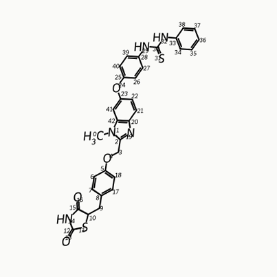 Cn1c(COc2ccc(CC3SC(=O)NC3=O)cc2)nc2ccc(Oc3ccc(NC(=S)Nc4ccccc4)cc3)cc21